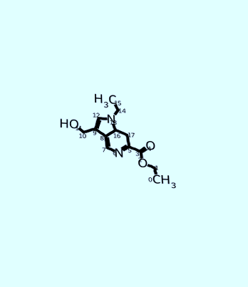 CCOC(=O)C1=NC=C2C(CO)=CN(CC)C2C1